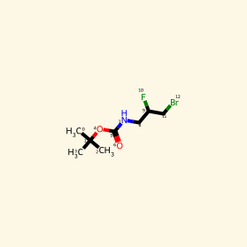 CC(C)(C)OC(=O)NCC(F)CBr